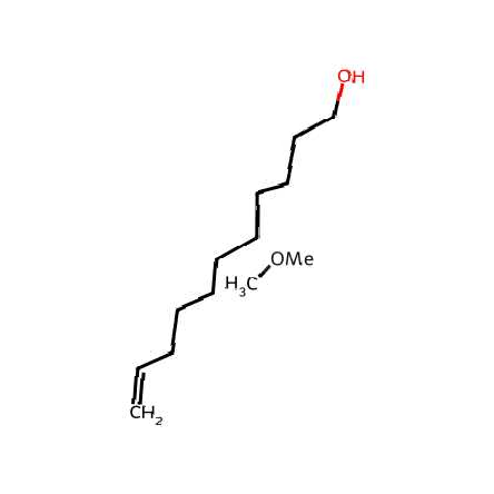 C=CCCCCCCCCCO.COC